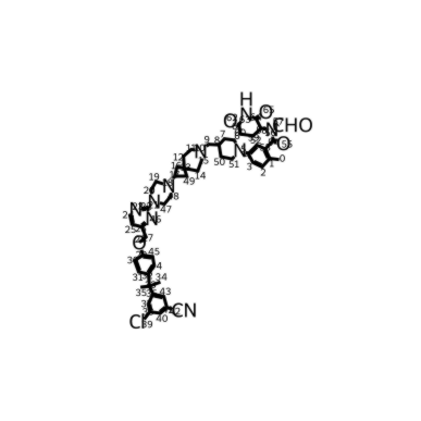 Cc1ccc(N2CCC(CN3CCC4(CC3)CC(N3CCN(c5nccc(COc6ccc(C(C)(C)c7cc(Cl)cc(C#N)c7)cc6)n5)CC3)C4)CC2)cc1C(=O)N(C=O)C1CCC(=O)NC1=O